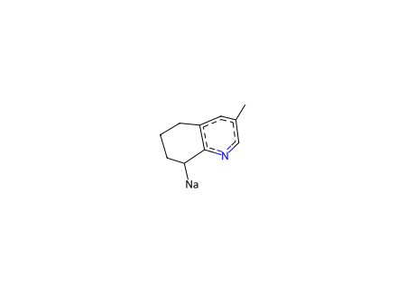 Cc1cnc2c(c1)CCC[CH]2[Na]